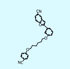 N#Cc1ccc(OCCCCCCOc2cccc(-c3cc4cc(C#N)ccc4o3)c2)cc1